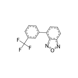 FC(F)(F)c1cccc(-c2cccc3nonc23)c1